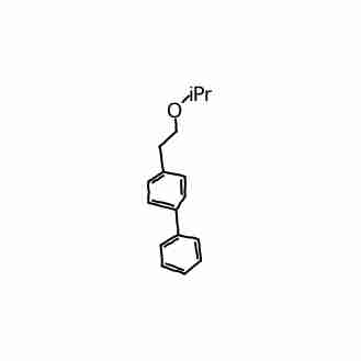 CC(C)OCCc1ccc(-c2ccccc2)cc1